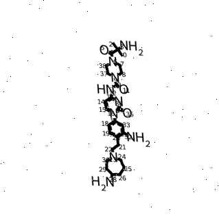 CC(C)(N)C(=O)N1CCN(C(=O)Nc2ccn(-c3ccc(CCN4CCCC(N)CC4)c(N)c3)c(=O)n2)CC1